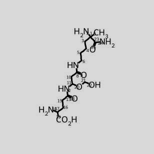 CC(N)(CCCCNC(=O)CC(NC(=O)CCC(N)C(=O)O)OCO)C(N)=O